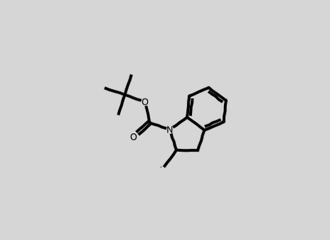 [CH2]C1Cc2ccccc2N1C(=O)OC(C)(C)C